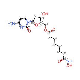 Nc1ccn([C@H]2C[C@H](O)[C@@H](COC(=O)CCCCCCC(=O)NO)O2)c(=O)n1